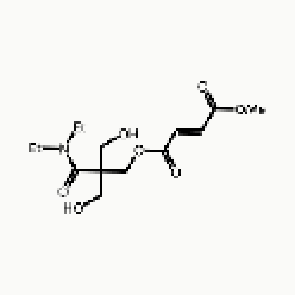 CCN(CC)C(=O)C(CO)(CO)COC(=O)/C=C/C(=O)OC